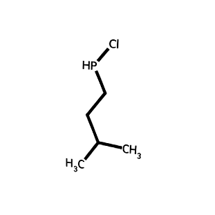 CC(C)CCPCl